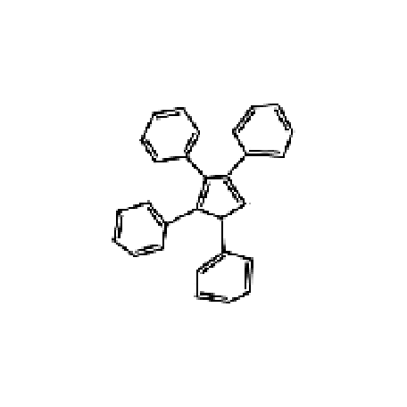 [C]1=C(c2ccccc2)C(c2ccccc2)=C(c2ccccc2)C1c1ccccc1